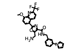 COc1ccc(-c2nc(C(=O)NCc3cccc(-n4cccc4)c3)c(CN)o2)c2ccc(C(F)(F)F)nc12